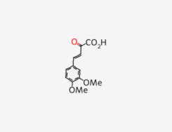 COc1ccc(C=CC(=O)C(=O)O)cc1OC